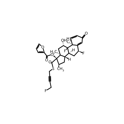 C[C@@H]1C[C@H]2[C@@H]3C[C@H](F)C4=CC(=O)C=C[C@]4(C)[C@@]3(F)[C@@H](O)C[C@]2(C)[C@@]1(OC(=O)c1ccco1)C(=O)SCC#CCF